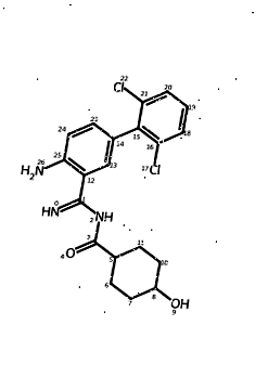 N=C(NC(=O)C1CCC(O)CC1)c1cc(-c2c(Cl)cccc2Cl)ccc1N